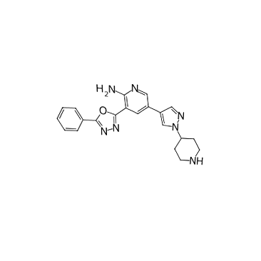 Nc1ncc(-c2cnn(C3CCNCC3)c2)cc1-c1nnc(-c2ccccc2)o1